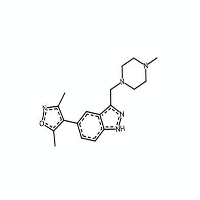 Cc1noc(C)c1-c1ccc2[nH]nc(CN3CCN(C)CC3)c2c1